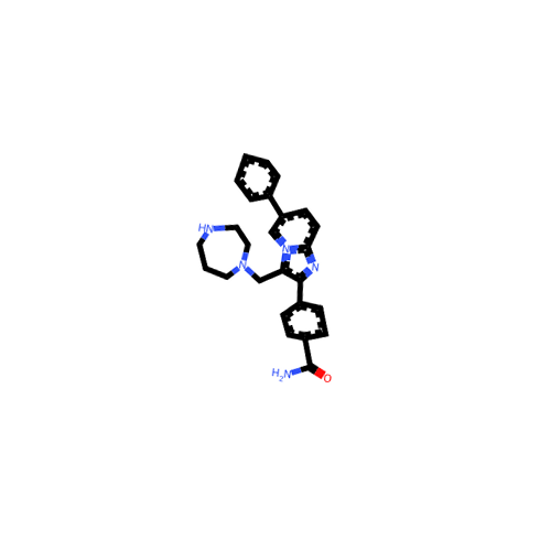 NC(=O)c1ccc(-c2nc3ccc(-c4ccccc4)cn3c2CN2CCCNCC2)cc1